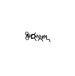 CCCN(C)CC(C)C(C)Nc1c(C)cc([N+](=O)[O-])cc1C